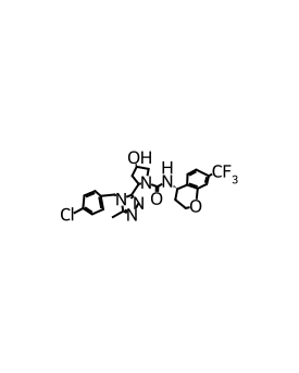 Cc1nnc(C2C[C@H](O)CN2C(=O)N[C@H]2CCOc3cc(C(F)(F)F)ccc32)n1Cc1ccc(Cl)cc1